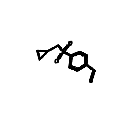 C=Cc1ccc(S(=O)(=O)CC2CC2)cc1